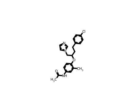 CC(=O)Nc1ccc(OC(CCc2ccc(Cl)cc2)Cn2ccnc2)c(C)c1